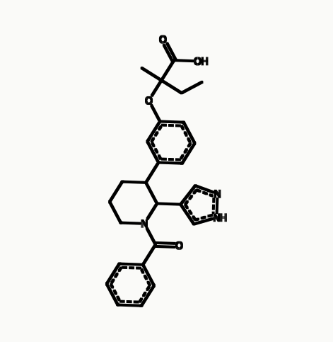 CCC(C)(Oc1cccc(C2CCCN(C(=O)c3ccccc3)C2c2cn[nH]c2)c1)C(=O)O